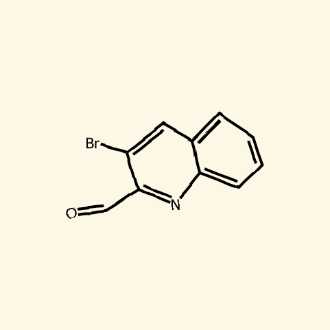 O=Cc1nc2ccccc2cc1Br